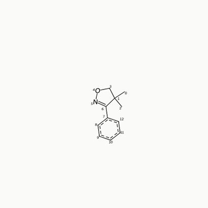 CC1(C)CON=C1c1ccccc1